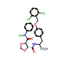 O=C(O)C(Cc1ccc(OCc2c(Cl)cccc2Cl)cc1)NC(=O)[C@@H]1OCO[C@H]1C(=O)N(Cl)c1ccccc1